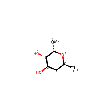 CO[C@@H]1O[C@@H](C)C[C@@H](O)[C@@H]1O